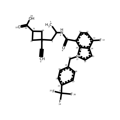 C#CC1(CC(C)NC(=O)c2ccc(F)c3ccn(Cc4ccc(C(F)(F)F)cc4)c23)CC(C(=O)O)C1